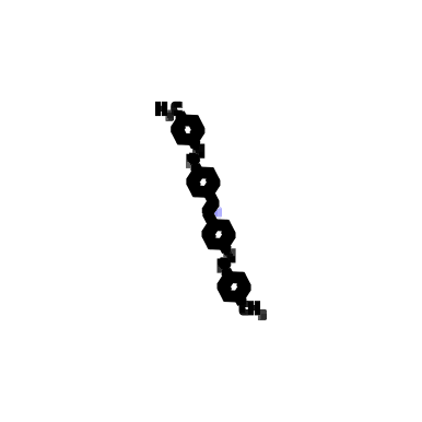 Cc1ccc(N=Nc2ccc(/C=C/c3ccc(N=Nc4ccc(C)cc4)cc3)cc2)cc1